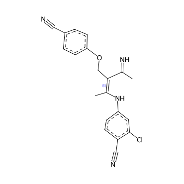 CC(=N)/C(COc1ccc(C#N)cc1)=C(/C)Nc1ccc(C#N)c(Cl)c1